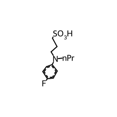 CCCN(CCCS(=O)(=O)O)c1ccc(F)cc1